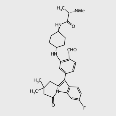 CN[C@@H](C)C(=O)N[C@H]1CC[C@H](Nc2cc(-c3c4n(c5cc(F)ccc35)C(=O)CC(C)(C)C4)ccc2C=O)CC1